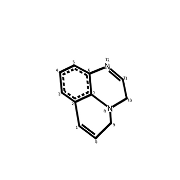 C1=Cc2cccc3c2N(C1)CC=N3